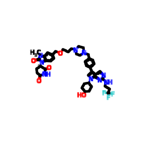 Cn1c(=O)n([C@H]2CCC(=O)NC2=O)c2ccc(COCCCN3CCN(Cc4ccc(-c5cn([C@H]6CC[C@H](O)CC6)c6nc(NCCC(F)(F)F)ncc56)cc4)CC3)cc21